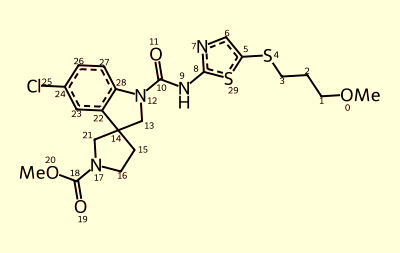 COCCCSc1cnc(NC(=O)N2CC3(CCN(C(=O)OC)C3)c3cc(Cl)ccc32)s1